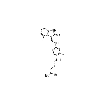 CCN(CC)CCCNc1ccc(NC=C2C(=O)Nc3cccc(C)c32)cc1C